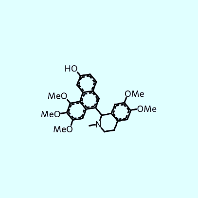 COc1cc2c(cc1OC)C(c1cc3ccc(O)cc3c3c(OC)c(OC)c(OC)cc13)N(C)CC2